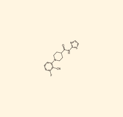 N#Cc1c(F)cccc1N1CCC(C(=O)Nc2nccs2)CC1